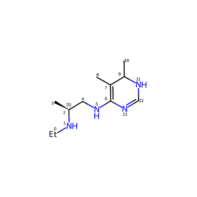 CCN[C@@H](C)CNC1=C(C)C(C)NC=N1